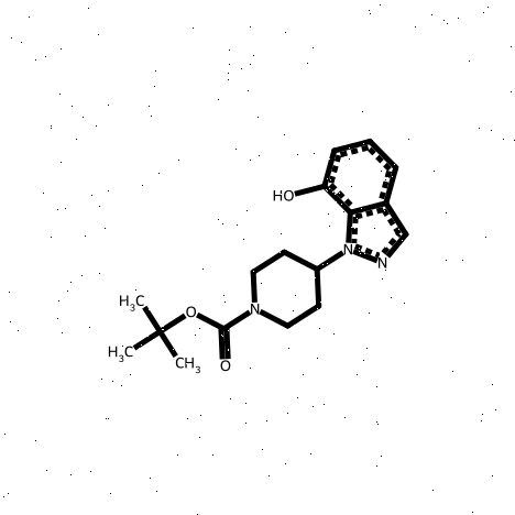 CC(C)(C)OC(=O)N1CCC(n2ncc3cccc(O)c32)CC1